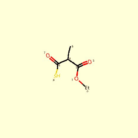 CCOC(=O)C(C)C(=O)S